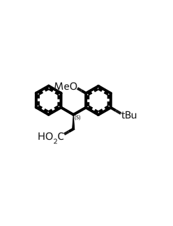 COc1ccc(C(C)(C)C)cc1[C@@H](CC(=O)O)c1ccccc1